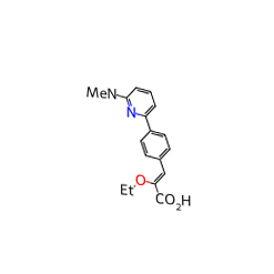 CCOC(=Cc1ccc(-c2cccc(NC)n2)cc1)C(=O)O